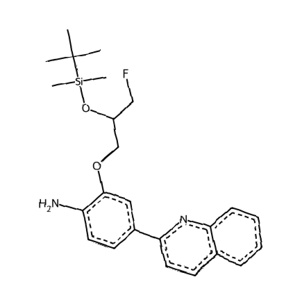 CC(C)(C)[Si](C)(C)OC(CF)COc1cc(-c2ccc3ccccc3n2)ccc1N